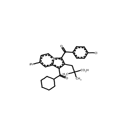 CC(C)c1ccn2c(C(=O)c3ccc(Cl)cc3)c(CC(C)(C)C(=O)O)c(C(=O)C3CCCCC3)c2c1